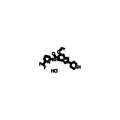 CC(C)Oc1cc2nc(C3CCNCC3)cn2cc1C(=O)Nc1cccc(C(F)F)n1.Cl